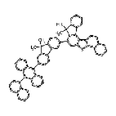 CC1(C)c2ccc(-c3cc4sc5c6ccccc6ccc5c4c4c3C(C)(C)c3ccccc3-4)cc2-c2ccc(-c3c4ccccc4c(-c4cccc5ccccc45)c4ccccc34)cc21